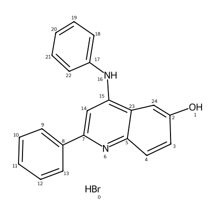 Br.Oc1ccc2nc(-c3ccccc3)cc(Nc3ccccc3)c2c1